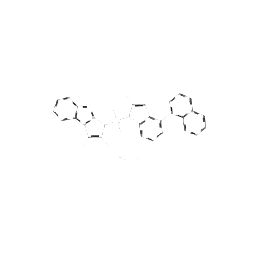 CC1=Cc2c(-c3cccc4ccccc34)cccc2C1[Si](C)(C)C1C(C)=C(C)c2c1sc1ccccc21.[Cl][Zr][Cl]